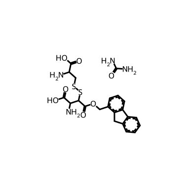 NC(CSSC(C(=O)OCc1cccc2c1Cc1ccccc1-2)C(N)C(=O)O)C(=O)O.NC(N)=O